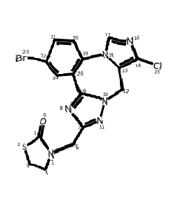 O=C1SCCN1Cc1nc2n(n1)Cc1c(Cl)ncn1-c1ccc(Br)cc1-2